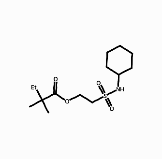 CCC(C)(C)C(=O)OCCS(=O)(=O)NC1CCCCC1